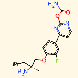 CC(C)C[C@](C)(N)COc1ccc(-c2ccnc(OC(N)=O)n2)cc1F